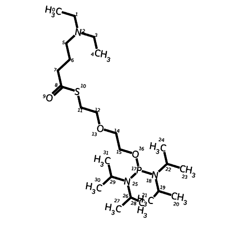 CCN(CC)CCCC(=O)SCCOCCOP(N(C(C)C)C(C)C)N(C(C)C)C(C)C